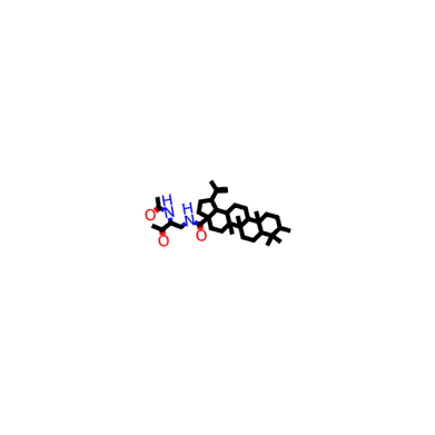 C=C(C)C1CCC2(C(=O)NCC(NC(C)=O)C(C)=O)CCC3(C)C(CCC4C5(C)CCC(C)C(C)(C)C5CCC43C)C12